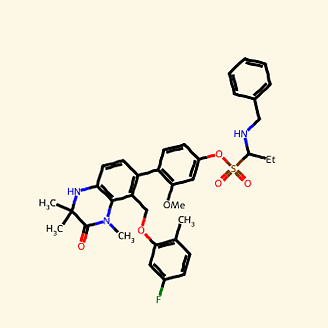 CCC(NCc1ccccc1)S(=O)(=O)Oc1ccc(-c2ccc3c(c2COc2cc(F)ccc2C)N(C)C(=O)C(C)(C)N3)c(OC)c1